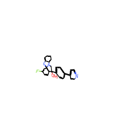 OC(Cn1cnc2ccccc21)(c1ccc(F)cc1)c1ccc(-c2ccncc2)cc1